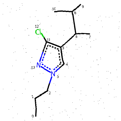 CCCn1cc(C(C)C(C)C)c(Cl)n1